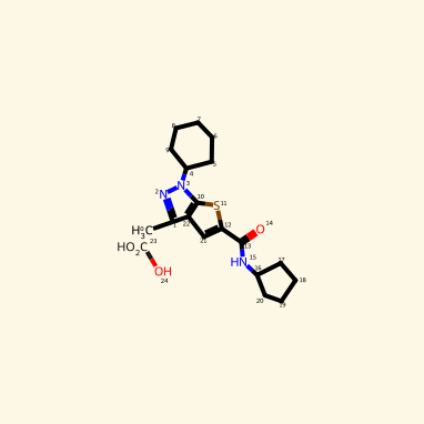 Cc1nn(C2CCCCC2)c2sc(C(=O)NC3CCCC3)cc12.O=C(O)O